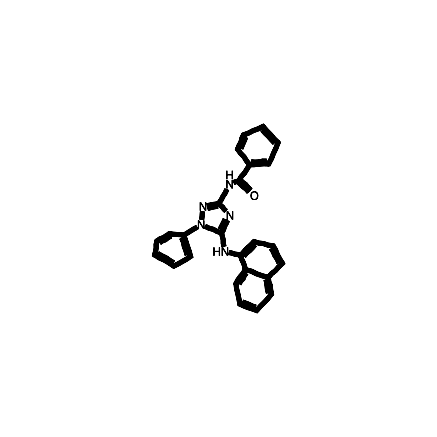 O=C(Nc1nc(Nc2cccc3ccccc23)n(-c2ccccc2)n1)c1ccccc1